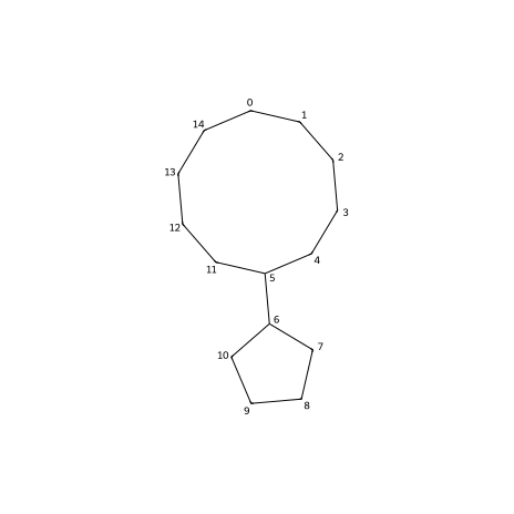 C1CCCCC(C2CCCC2)CCCC1